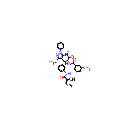 CCN1C(=O)[C@@H](NC(=O)c2cccc(C(F)(F)F)c2)[C@H](c2cccc(NC(=O)/C(C#N)=C/C(C)C)c2)c2c(C)nn(-c3ccccc3)c21